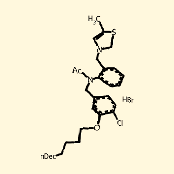 Br.CCCCCCCCCCCCCCOc1cc(CN(C(C)=O)c2ccccc2CN2C=C(C)SC2)ccc1Cl